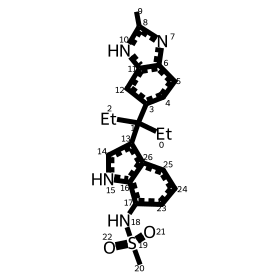 CCC(CC)(c1ccc2nc(C)[nH]c2c1)c1c[nH]c2c(NS(C)(=O)=O)cccc12